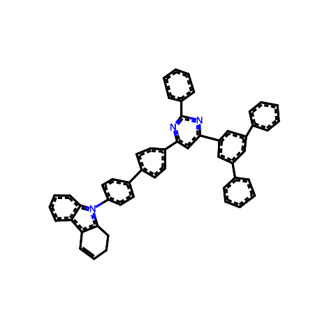 C1=Cc2c(n(-c3ccc(-c4ccc(-c5cc(-c6cc(-c7ccccc7)cc(-c7ccccc7)c6)nc(-c6ccccc6)n5)cc4)cc3)c3ccccc23)CC1